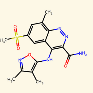 Cc1noc(Nc2c(C(N)=O)nnc3c(C)cc(S(C)(=O)=O)cc23)c1C